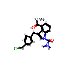 COC(=O)c1cccc2c1c(Cc1ccc(CCl)cc1)cn2C(=O)N(C)C